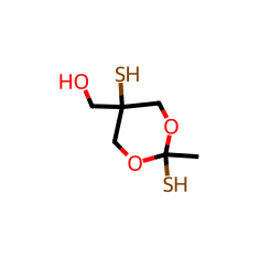 CC1(S)OCC(S)(CO)CO1